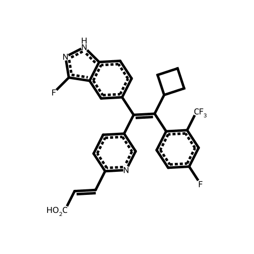 O=C(O)C=Cc1ccc(C(=C(c2ccc(F)cc2C(F)(F)F)C2CCC2)c2ccc3[nH]nc(F)c3c2)cn1